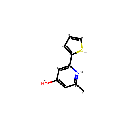 Cc1cc(O)cc(-c2cccs2)n1